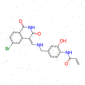 C=CC(=O)Nc1ccc(CNC=C2C(=O)NC(=O)c3ccc(Br)cc32)cc1O